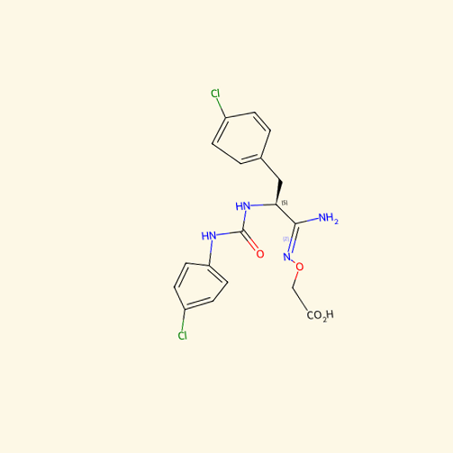 N/C(=N\OCC(=O)O)[C@H](Cc1ccc(Cl)cc1)NC(=O)Nc1ccc(Cl)cc1